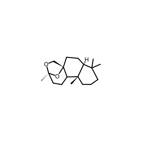 CC1(C)CCC[C@]2(C)C3CC[C@@]4(C)OC[C@]3(CC[C@@H]12)O4